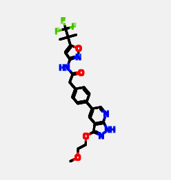 COCCOc1n[nH]c2ncc(-c3ccc(CC(=O)Nc4cc(C(C)(C)C(F)(F)F)on4)cc3)cc12